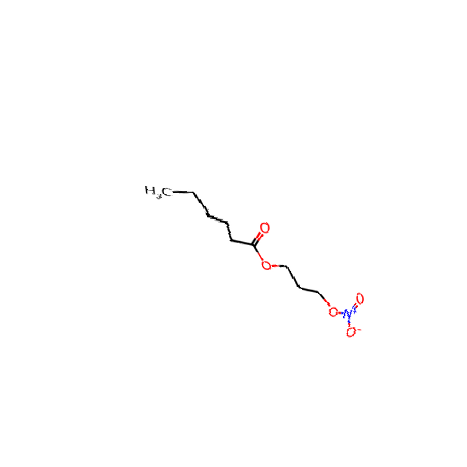 CCCCCC(=O)OCCCO[N+](=O)[O-]